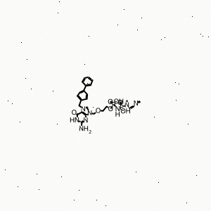 C=N/C=C\N(C)P(=O)(O)NP(=O)(O)OCCOCn1c[n+](Cc2ccc(-c3ccccc3)cc2)c2c(=O)[nH]c(N)nc21